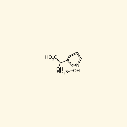 O=C(O)[C@H](O)c1cccnc1.O=S(=O)(O)O